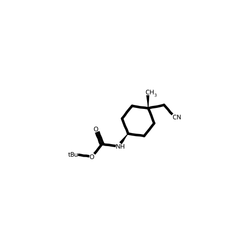 CC(C)(C)OC(=O)N[C@H]1CC[C@](C)(CC#N)CC1